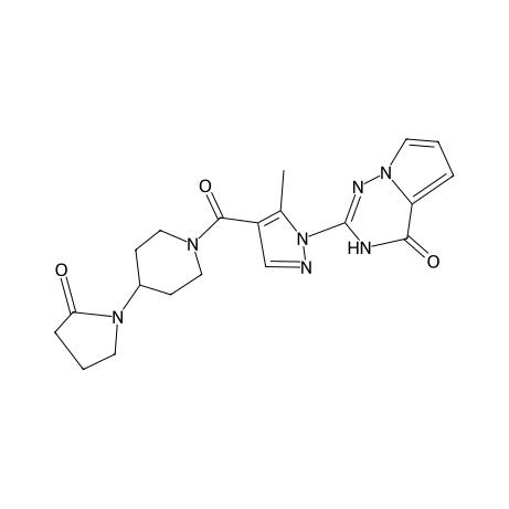 Cc1c(C(=O)N2CCC(N3CCCC3=O)CC2)cnn1-c1nn2cccc2c(=O)[nH]1